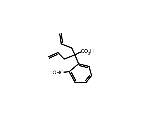 C=CCC(CC=C)(C(=O)O)c1ccccc1C=O